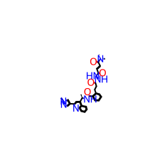 C[C@@H](NC(=O)c1ccccc1CCC(=O)NNC(=O)/C=C/C(=O)N(C)C)c1cc(-c2cnn(C)c2)nc2ccccc12